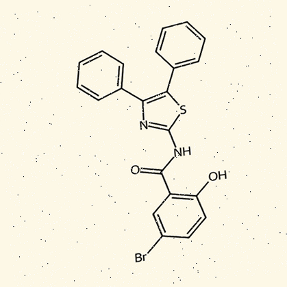 O=C(Nc1nc(-c2ccccc2)c(-c2ccccc2)s1)c1cc(Br)ccc1O